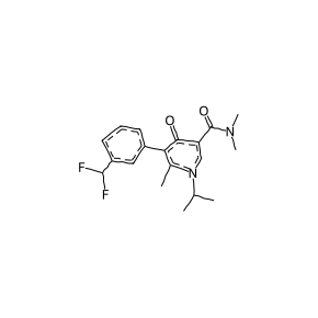 Cc1c(-c2cccc(C(F)F)c2)c(=O)c(C(=O)N(C)C)cn1C(C)C